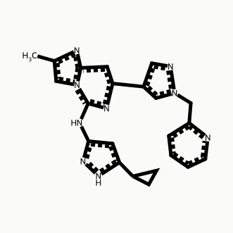 Cc1cn2c(Nc3cc(C4CC4)[nH]n3)nc(-c3cnn(Cc4ccccn4)c3)cc2n1